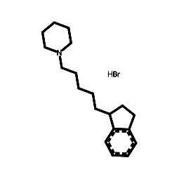 Br.c1ccc2c(c1)CCC2CCCCCN1CCCCC1